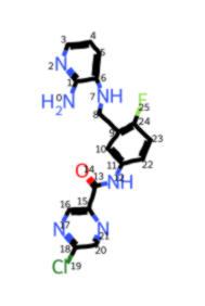 Nc1ncccc1NCc1cc(NC(=O)c2cnc(Cl)cn2)ccc1F